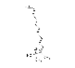 CC=CCCC=CC=CC=C(C)C(C)(C)O